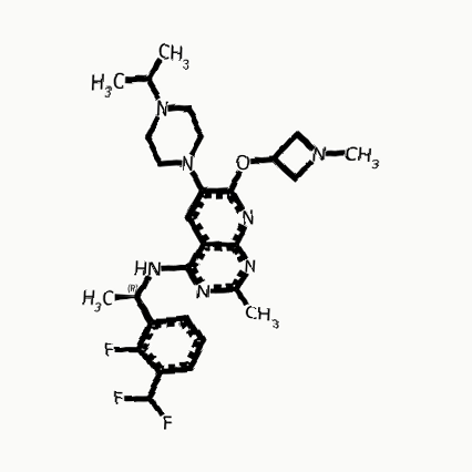 Cc1nc(N[C@H](C)c2cccc(C(F)F)c2F)c2cc(N3CCN(C(C)C)CC3)c(OC3CN(C)C3)nc2n1